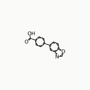 O=C(O)c1ccc(-c2ccc3ocnc3c2)cc1